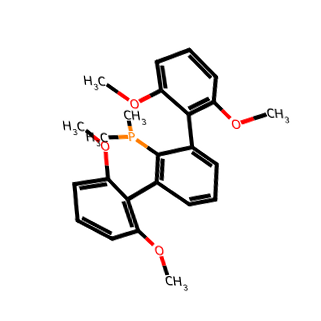 COc1cccc(OC)c1-c1cccc(-c2c(OC)cccc2OC)c1P(C)C